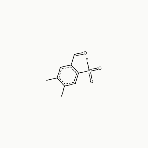 Cc1cc(C=O)c(S(=O)(=O)F)cc1C